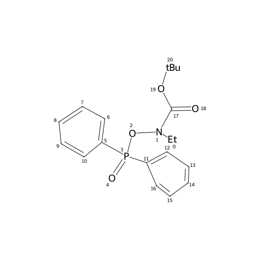 CCN(OP(=O)(c1ccccc1)c1ccccc1)C(=O)OC(C)(C)C